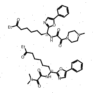 CCC(=O)CCCCC[C@H](NC(=O)C(=O)N(C)C)c1ncc(-c2ccccc2)o1.CCC(=O)CCCCC[C@H](NC(=O)C(=O)N1CCN(C)CC1)c1ncc(-c2ccccc2)o1